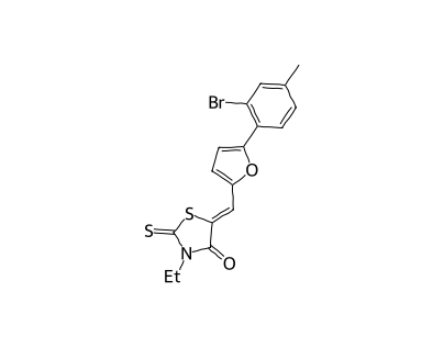 CCN1C(=O)C(=Cc2ccc(-c3ccc(C)cc3Br)o2)SC1=S